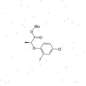 C[C@H](Oc1ccc(Cl)cc1I)C(=O)OC(C)(C)C